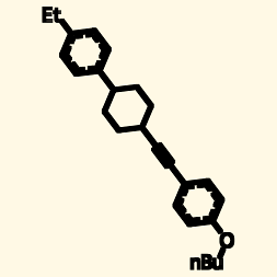 CCCCOc1ccc(C#CC2CCC(c3ccc(CC)cc3)CC2)cc1